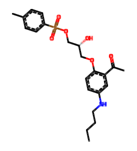 CCCCNc1ccc(OC[C@@H](O)COS(=O)(=O)c2ccc(C)cc2)c(C(C)=O)c1